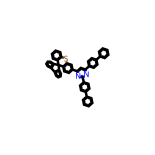 c1ccc(-c2ccc(-c3cc(-c4ccc5c(c4)Sc4ccccc4C54c5ccccc5-c5ccccc54)nc(-c4ccc(-c5ccccc5)cc4)n3)cc2)cc1